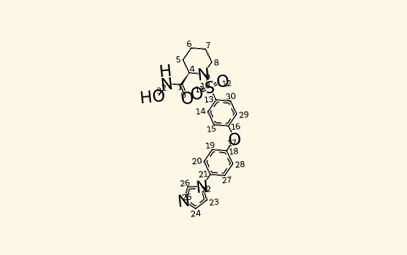 O=C(NO)[C@H]1CCCCN1S(=O)(=O)c1ccc(Oc2ccc(-n3ccnc3)cc2)cc1